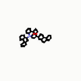 c1ccc(-c2ccccc2N(c2ccc(-c3ccc4c(ccc5ccccc54)c3)cc2)c2cc3ccccc3c3ccccc23)cc1